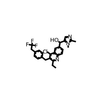 CCc1nc2ccc(C(O)c3cnc(C)n3C)cc2c(Cl)c1Cc1ccc(CC(F)(F)F)cc1